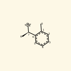 Cc1ccccc1[C@@H](C)Br